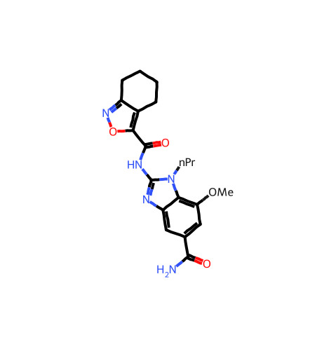 CCCn1c(NC(=O)c2onc3c2CCCC3)nc2cc(C(N)=O)cc(OC)c21